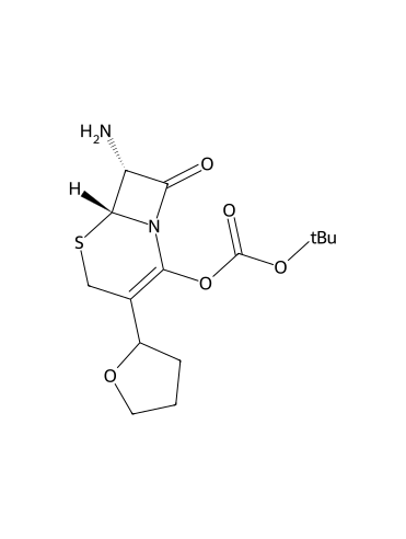 CC(C)(C)OC(=O)OC1=C(C2CCCO2)CS[C@@H]2[C@H](N)C(=O)N12